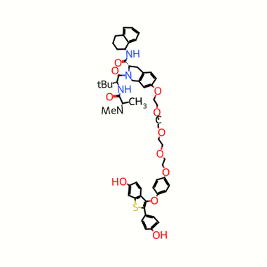 CN[C@@H](C)C(=O)N[C@H](C(=O)N1Cc2cc(OCCOCCOCCOCCOc3ccc(Oc4c(-c5ccc(O)cc5)sc5cc(O)ccc45)cc3)ccc2C[C@H]1C(=O)N[C@@H]1CCCc2ccccc21)C(C)(C)C